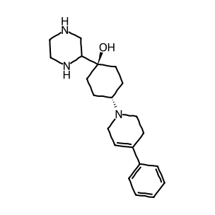 O[C@]1(C2CNCCN2)CC[C@@H](N2CC=C(c3ccccc3)CC2)CC1